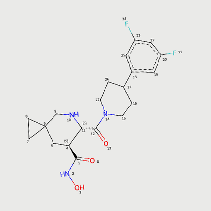 O=C(NO)[C@H]1CC2(CC2)CN[C@@H]1C(=O)N1CCC(c2cc(F)cc(F)c2)CC1